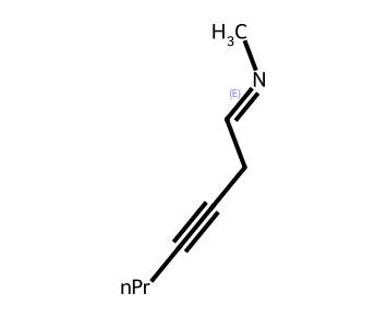 CCCC#CC/C=N/C